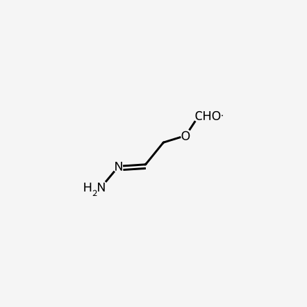 NN=CCO[C]=O